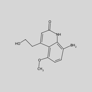 Bc1ccc(OC)c2c(CCO)cc(=O)[nH]c12